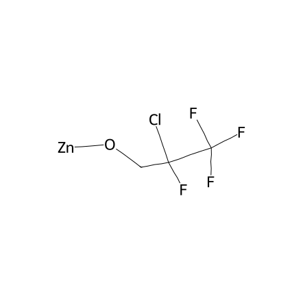 FC(F)(F)C(F)(Cl)C[O][Zn]